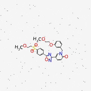 COCCOc1cccc(Cn2cc(-c3noc(-c4ccc(S(=O)(=O)CCOC)cc4)n3)ccc2=O)c1